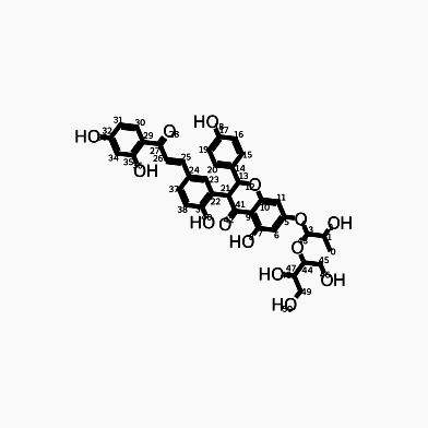 CC(O)C(Oc1cc(O)c2c(c1)OC(c1ccc(O)cc1)C(c1cc(/C=C/C(=O)c3ccc(O)cc3O)ccc1O)C2=O)OC(CO)C(O)CO